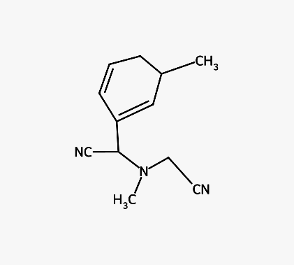 CC1C=C(C(C#N)N(C)CC#N)C=CC1